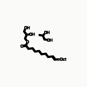 CC(O)CO.CCCCCCCCC=CCCCCCCCC(=O)OCC(O)CO